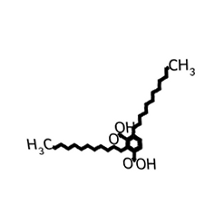 CCCCCCCCCCCCc1ccc(C(=O)O)c(CCCCCCCCCCCC)c1C(=O)O